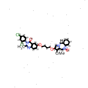 COc1c(OCCCCOc2ccc3nc(C)n(-c4ccc(Cl)cc4Cl)c(=O)c3c2)cn2c1C=[N+]([O-])C1=CCCC[C@H]1C2